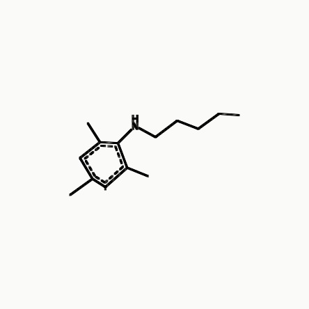 CCCCCNc1c(C)[c]c(C)cc1C